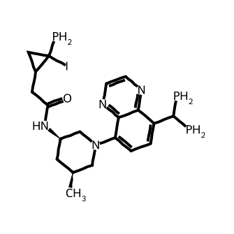 C[C@H]1C[C@@H](NC(=O)CC2CC2(P)I)CN(c2ccc(C(P)P)c3nccnc23)C1